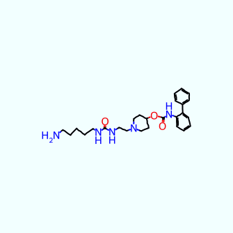 NCCCCCNC(=O)NCCN1CCC(OC(=O)Nc2ccccc2-c2ccccc2)CC1